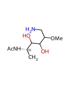 COC(CN)C(O)C(O)[C@H](C)NC(C)=O